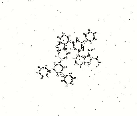 C=Cc1c(/C=C\C)oc2cccc(-c3nc(-c4ccccc4)nc(-c4cccc5oc6cc(-c7nc(-c8ccccc8)nc(-c8ccccc8)n7)ccc6c45)n3)c12